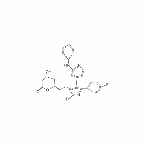 CC(C)c1nc(-c2ccc(F)cc2)c(-c2ccnc(Nc3ccccc3)n2)n1CC[C@@H]1C[C@@H](O)CC(=O)O1